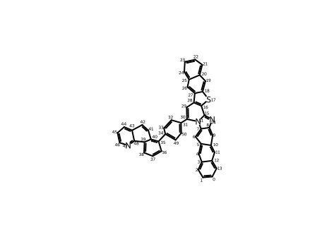 c1ccc2cc3cc4c(cc3cc2c1)nc1c2sc3cc5ccccc5cc3c2cc(-c2ccc(-c3cccc5c3ccc3cccnc35)cc2)n41